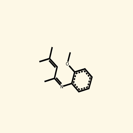 COc1ccccc1N=C(C)C=C(C)C